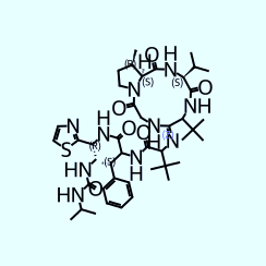 CC(C)NC(=O)NC[C@@H](NC(=O)C(NC(=O)C(/N=C1\NCC(=O)N2CC[C@@H](C)[C@H]2C(=O)N[C@@H](C(C)C)C(=O)NC1C(C)(C)C)C(C)(C)C)[C@@H](C)c1ccccc1)c1nccs1